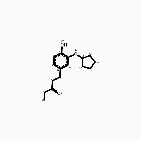 CCC(=O)CCc1ccc(O)c(OC2CCCC2)c1